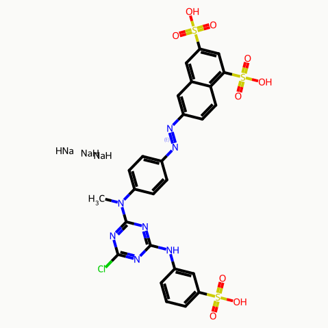 CN(c1ccc(/N=N/c2ccc3c(S(=O)(=O)O)cc(S(=O)(=O)O)cc3c2)cc1)c1nc(Cl)nc(Nc2cccc(S(=O)(=O)O)c2)n1.[NaH].[NaH].[NaH]